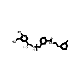 Cc1cccc(CCNC(=O)c2cccc(CC(C)(C)NC[C@H](O)c3ccc(O)c(CO)c3)c2)c1